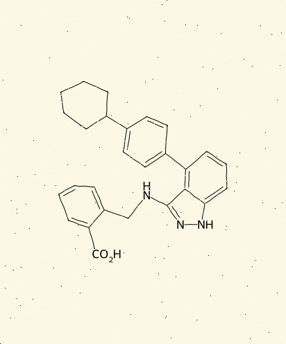 O=C(O)c1ccccc1CNc1n[nH]c2cccc(-c3ccc(C4CCCCC4)cc3)c12